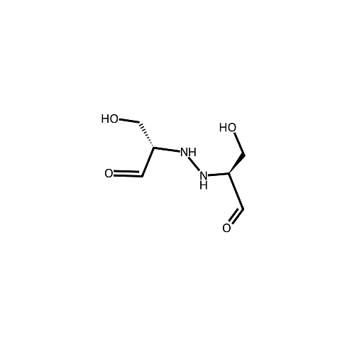 O=C[C@H](CO)NN[C@H](C=O)CO